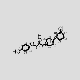 Oc1ccc(OC[C@@H](O)CN2CCN(c3cccc(Cl)c3)CC2)cc1